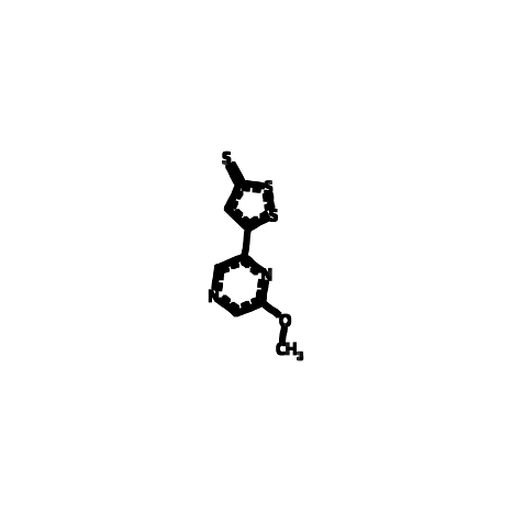 COc1cncc(-c2cc(=S)ss2)n1